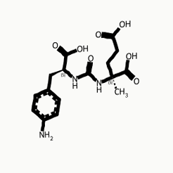 C[C@@](CCC(=O)O)(NC(=O)N[C@@H](Cc1ccc(N)cc1)C(=O)O)C(=O)O